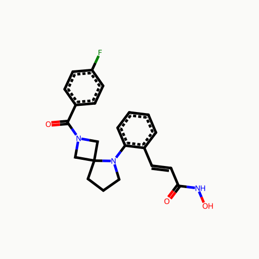 O=C(C=Cc1ccccc1N1CCCC12CN(C(=O)c1ccc(F)cc1)C2)NO